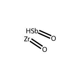 [O]=[SbH].[O]=[Zr]